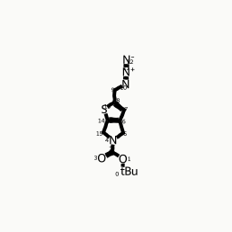 CC(C)(C)OC(=O)N1Cc2cc(CN=[N+]=[N-])sc2C1